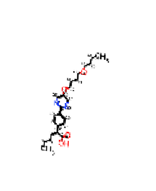 CCCC=C(C(=O)O)c1ccc(-c2ncc(OCCCCOCCCC)cn2)cc1